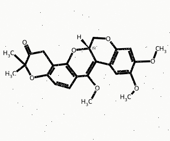 COC1=C2c3cc(OC)c(OC)cc3OC[C@H]2Oc2c1ccc1c2CC(=O)C(C)(C)O1